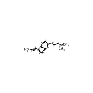 CNCc1cnc2cc(OCCN(C)C)ccn12